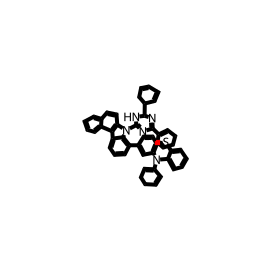 C1=CCC(C2N=C(C3=CCCC=C3)N=C(n3c4ccc5ccccc5c4c4cccc(-c5ccc6c(c5)N(C5=CCCC=C5)c5ccccc5S6)c43)N2)C=C1